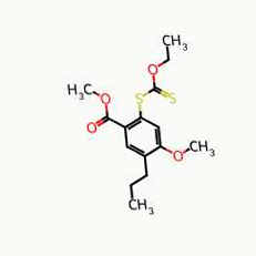 CCCc1cc(C(=O)OC)c(SC(=S)OCC)cc1OC